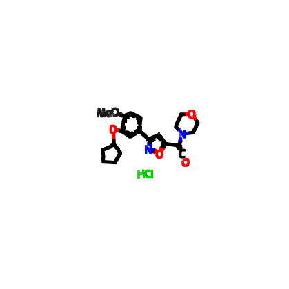 COc1ccc(-c2cc(C(=C=O)N3CCOCC3)on2)cc1OC1CCCC1.Cl